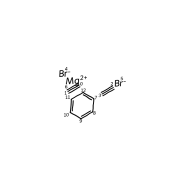 C#C.C#C.[Br-].[Br-].[Mg+2].c1ccccc1